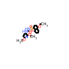 CCOc1ccc(S(=O)(=O)NC(=O)Nc2ccc(OC)nc2OC)c2ccccc12